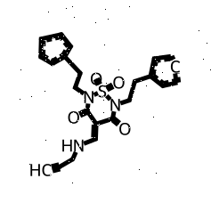 C#CCNC=C1C(=O)N(CCc2ccccc2)S(=O)(=O)N(CCc2ccccc2)C1=O